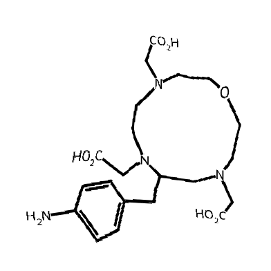 Nc1ccc(CC2CN(CC(=O)O)CCOCCN(CC(=O)O)CCN2CC(=O)O)cc1